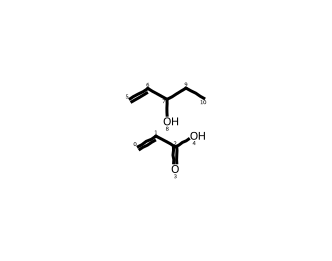 C=CC(=O)O.C=CC(O)CC